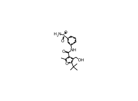 Cc1oc(C(C)(C)C)c(CO)c1C(=O)Nc1cccc(S(N)(=O)=O)c1